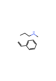 C=Cc1ccccc1.CCCNC